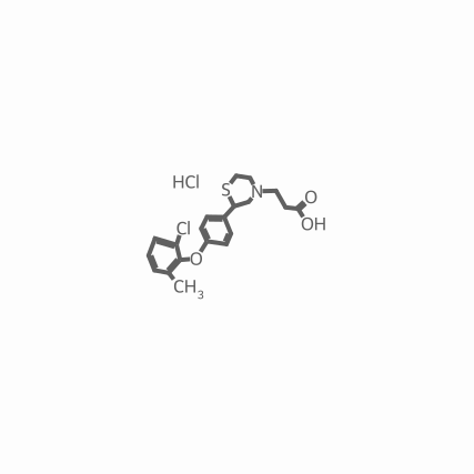 Cc1cccc(Cl)c1Oc1ccc(C2CN(CCC(=O)O)CCS2)cc1.Cl